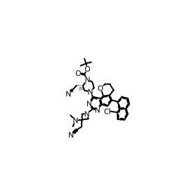 CN(C)C1(CC#N)CN(c2nc(N3CCN(C(=O)OC(C)(C)C)[C@@H](CC#N)C3)c3c4c(c(-c5cccc6cccc(Cl)c56)cc3n2)CCCO4)C1